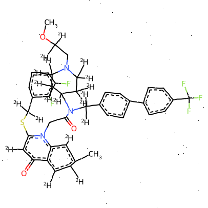 [2H]c1c(C)c([2H])c2c(c1[2H])c(=O)c([2H])c(SC([2H])([2H])c1cccc(F)c1F)n2CC(=O)N(C([2H])([2H])c1ccc(-c2ccc(C(F)(F)F)cc2)cc1)C1([2H])C([2H])([2H])C([2H])([2H])N(CC([2H])([2H])OC)C([2H])([2H])C1([2H])[2H]